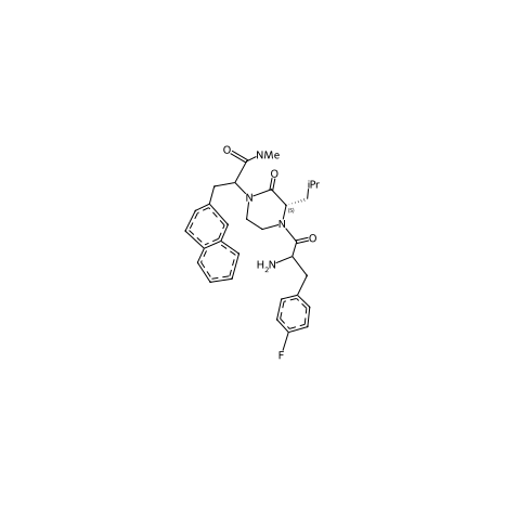 CNC(=O)C(Cc1ccc2ccccc2c1)N1CCN(C(=O)C(N)Cc2ccc(F)cc2)[C@@H](CC(C)C)C1=O